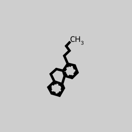 CCCCc1cccc2c1CCc1ccccc1-2